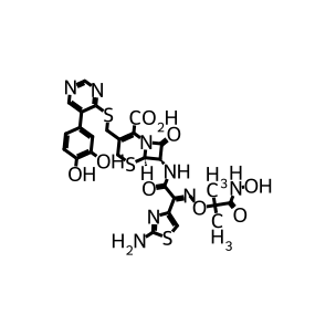 CC(C)(ON=C(C(=O)N[C@@H]1C(=O)N2C(C(=O)O)=C(CSc3ncncc3-c3ccc(O)c(O)c3)CS[C@H]12)c1csc(N)n1)C(=O)NO